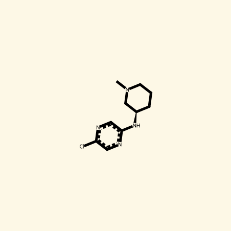 CN1CCC[C@@H](Nc2cnc(Cl)cn2)C1